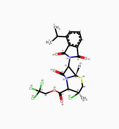 CC(C)c1cccc2c1C(=O)N(C1C(=O)N3C(C(=O)OCC(Cl)(Cl)Cl)[C@](C)(Cl)CS[C@@H]13)C2=O